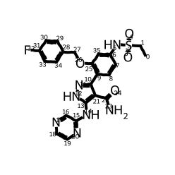 CCS(=O)(=O)Nc1ccc(-c2n[nH]c(Nc3cnccn3)c2C(N)=O)c(OCc2ccc(F)cc2)c1